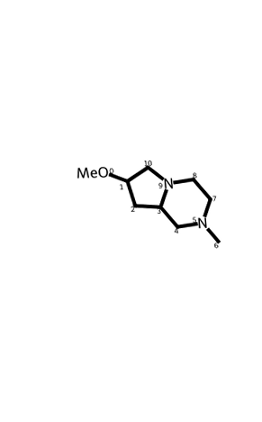 COC1CC2CN(C)CCN2C1